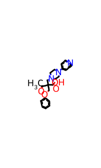 CC(=O)C(COc1ccccc1)(CN1CCN(c2ccncc2)CC1)C(=O)O